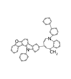 C=C1/C=C(c2ccc3c(c2)c2ccc4oc5ccccc5c4c2n3-c2ccccc2)\C=C/N(c2cccc(-c3ccccc3)c2)c2ccccc21